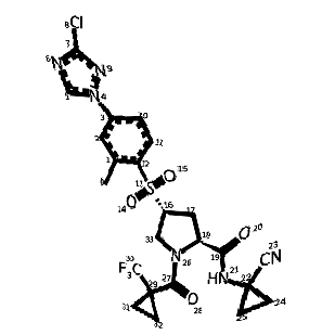 Cc1cc(-n2cnc(Cl)n2)ccc1S(=O)(=O)[C@@H]1C[C@@H](C(=O)NC2(C#N)CC2)N(C(=O)C2(C(F)(F)F)CC2)C1